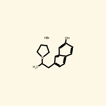 Br.CC(Cc1ccc2ccc(O)cc2c1)N1CCCC1